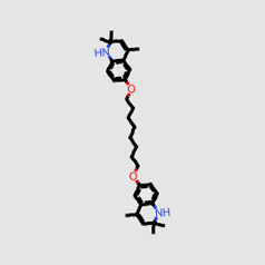 CC1=CC(C)(C)Nc2ccc(OCCCCCCCCOc3ccc4c(c3)C(C)=CC(C)(C)N4)cc21